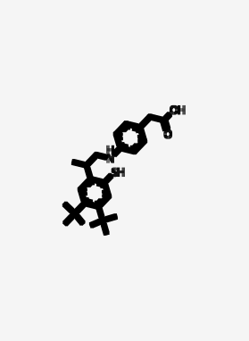 CC(CNc1ccc(CC(=O)O)cc1)c1cc(C(C)(C)C)c(C(C)(C)C)cc1S